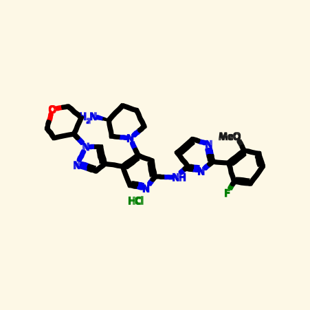 COc1cccc(F)c1-c1nccc(Nc2cc(N3CCC[C@H](N)C3)c(-c3cnn(C4CCOCC4)c3)cn2)n1.Cl